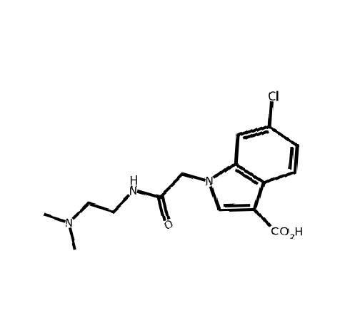 CN(C)CCNC(=O)Cn1cc(C(=O)O)c2ccc(Cl)cc21